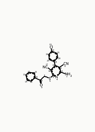 N#Cc1c(N)nc(SCC(=O)c2ccccc2)c(C#N)c1-c1ccc(Cl)cc1